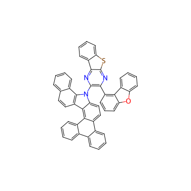 c1ccc2c(c1)ccc1c3c4c5ccccc5c5ccccc5c4ccc3n(-c3nc4c(nc3-c3cccc5oc6ccccc6c35)sc3ccccc34)c21